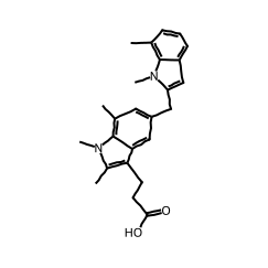 Cc1cccc2cc(Cc3cc(C)c4c(c3)c(CCC(=O)O)c(C)n4C)n(C)c12